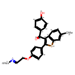 CCCCCCN=CCOc1ccc(-c2sc3cc(OC)ccc3c2C(=O)c2ccc(O)cc2)cc1